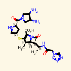 C[C@@H](NC(=O)Cn1cnnn1)[C@H]1C(=O)N2C(C(=O)O)=C(S[C@@H]3CN[C@H](C(=O)N4CC(N)C(N)C4)C3)[C@H](C)[C@H]12